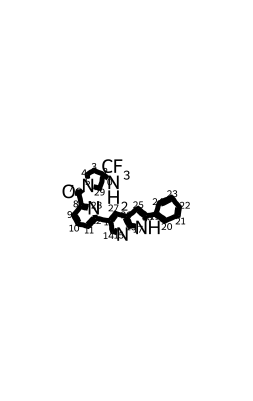 NC1(C(F)(F)F)CCN(C(=O)c2cccc(-c3cnc4[nH]c(-c5ccccc5)cc4c3)n2)C1